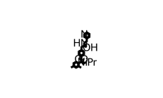 Cc1ccc(N(CC(C)C)S(=O)(=O)c2ccc(CC(O)NCc3cccnc3)cc2)c(C)c1